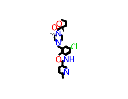 Cc1ccc(C(=O)Nc2cc(Cl)cc(CN3CCN(C(=O)[C@@]4(C)CCCO4)[C@@H](C)C3)c2C)cn1